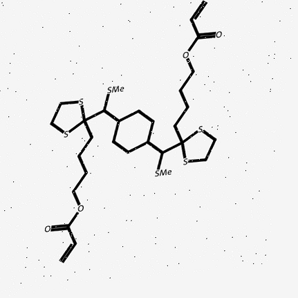 C=CC(=O)OCCCCC1(C(SC)C2CCC(C(SC)C3(CCCCOC(=O)C=C)SCCS3)CC2)SCCS1